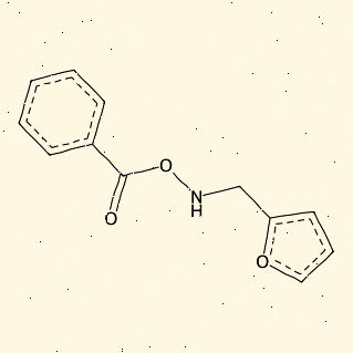 O=C(ONCc1ccco1)c1ccccc1